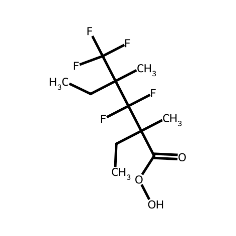 CCC(C)(C(=O)OO)C(F)(F)C(C)(CC)C(F)(F)F